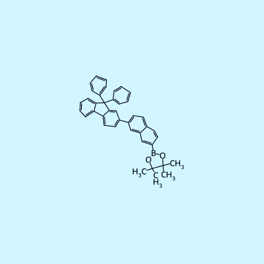 CC1(C)OB(c2ccc3ccc(-c4ccc5c(c4)C(c4ccccc4)(c4ccccc4)c4ccccc4-5)cc3c2)OC1(C)C